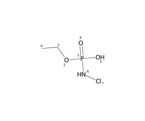 CCOP(=O)(O)NCl